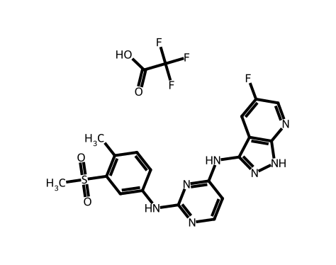 Cc1ccc(Nc2nccc(Nc3n[nH]c4ncc(F)cc34)n2)cc1S(C)(=O)=O.O=C(O)C(F)(F)F